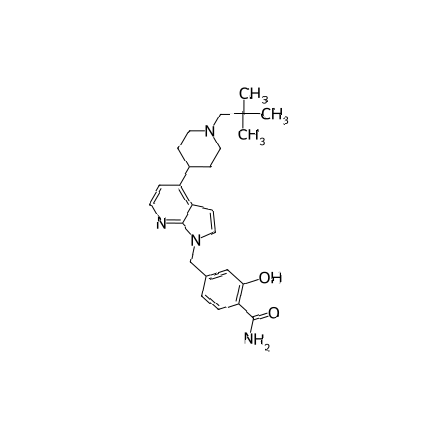 CC(C)(C)CN1CCC(c2ccnc3c2ccn3Cc2ccc(C(N)=O)c(O)c2)CC1